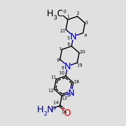 CC1CCCN(C2CCN(c3ccc(C(N)=O)nc3)CC2)C1